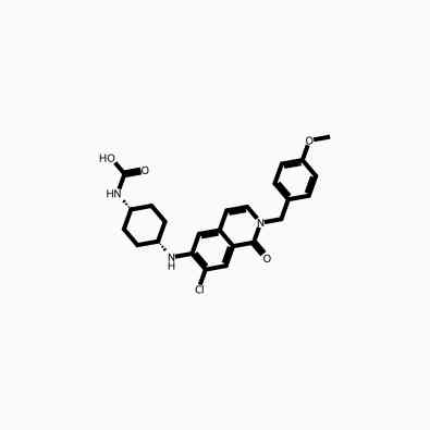 COc1ccc(Cn2ccc3cc(N[C@H]4CC[C@@H](NC(=O)O)CC4)c(Cl)cc3c2=O)cc1